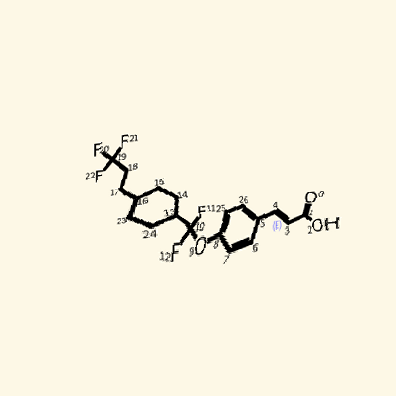 O=C(O)/C=C/c1ccc(OC(F)(F)C2CCC(CCC(F)(F)F)CC2)cc1